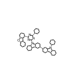 c1ccc(-c2nc(-c3cccc4oc5ccccc5c34)nc(-n3c4ccccc4c4cc(-c5ccc6c7ccccc7n(-c7ccccc7)c6c5)ccc43)n2)cc1